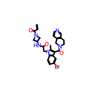 C=CC(=O)N1CC(NC(=O)Cn2c(C)c(C(=O)N3CCc4cnccc4C3)c3cc(Br)ccc32)C1